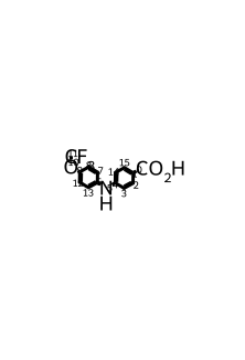 O=C(O)c1ccc(Nc2ccc(OC(F)(F)F)cc2)cc1